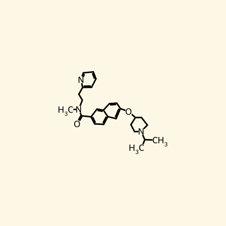 CC(C)N1CCC(Oc2ccc3cc(C(=O)N(C)CCc4ccccn4)ccc3c2)CC1